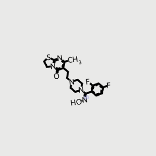 Cc1nc2n(c(=O)c1CCN1CCN(/C(=N\O)c3ccc(F)cc3F)CC1)CCS2